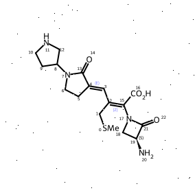 CSCC(/C=C1\CCN(C2CCNC2)C1=O)=C(/C(=O)O)N1C[C@H](N)C1=O